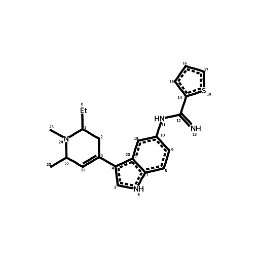 CCC1CC(c2c[nH]c3ccc(NC(=N)c4cccs4)cc23)=CC(C)N1C